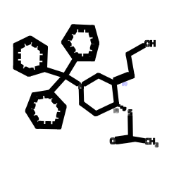 CC(=O)S[C@@H]1CCN(C(c2ccccc2)(c2ccccc2)c2ccccc2)C/C1=C\CO